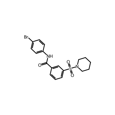 O=C(Nc1ccc(Br)cc1)c1cccc(S(=O)(=O)N2CCCCC2)c1